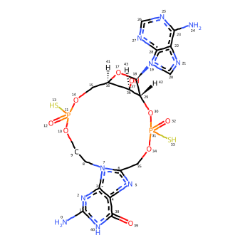 Nc1nc2c(nc3n2CCOP(=O)(S)OC[C@H]2O[C@@H](n4cnc5c(N)ncnc54)[C@H](OP(=O)(S)OC3)[C@@H]2O)c(=O)[nH]1